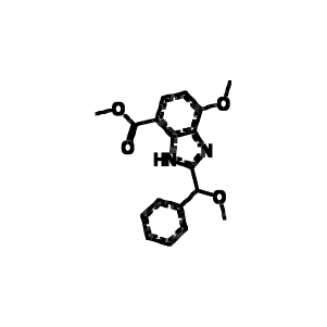 COC(=O)c1ccc(OC)c2nc(C(OC)c3ccccc3)[nH]c12